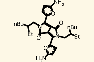 CCCCC(CC)CN1C(=O)C2=C(c3ccc(N)o3)N(CC(CC)CCCC)C(=O)C2=C1c1ccc(N)o1